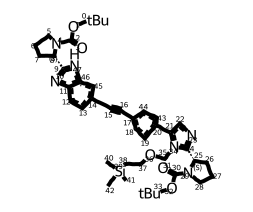 CC(C)(C)OC(=O)N1CCC[C@H]1c1nc2ccc(C#Cc3ccc(-c4cnc([C@@H]5CCCN5C(=O)OC(C)(C)C)n4COCC[Si](C)(C)C)cc3)cc2[nH]1